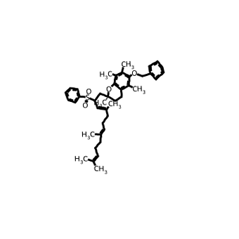 CC(C)=CCC/C(C)=C/CC/C(C)=C/C(C[C@]1(C)CCc2c(C)c(OCc3ccccc3)c(C)c(C)c2O1)S(=O)(=O)c1ccccc1